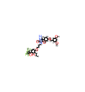 CCCc1cc(C(O)(C(F)(F)F)C(F)(F)F)ccc1OCCCCN1C(=O)NC(C)(c2ccc(OCc3cc(OC)cc(OC)c3)cc2)C1=O